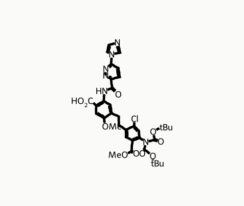 COC(=O)c1cc(CCc2cc(NC(=O)c3ccc(-n4ccnc4)nn3)c(C(=O)O)cc2OC)c(Cl)cc1N(C(=O)OC(C)(C)C)C(=O)OC(C)(C)C